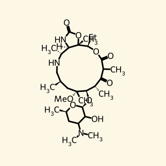 CC[C@H]1OC(=O)C(C)C(=O)[C@H](C)[C@@H](O[C@@H]2O[C@H](C)CC(N(C)C)C2O)[C@](C)(OC)C[C@@H](C)CN[C@H](C)[C@H]2NC(=O)O[C@@]21C